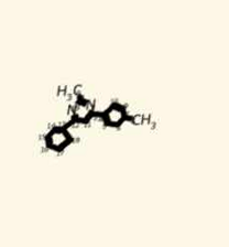 Cc1nc(C2=CCC(C)C=C2)cc(-c2ccccc2)n1